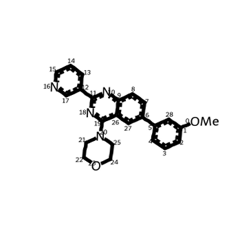 COc1cccc(-c2ccc3nc(-c4cccnc4)nc(N4CCOCC4)c3c2)c1